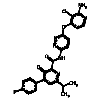 CC(C)n1cc(-c2ccc(F)cc2)c(=O)c(C(=O)Nc2ccc(Oc3ccnc(N)c3Cl)nn2)n1